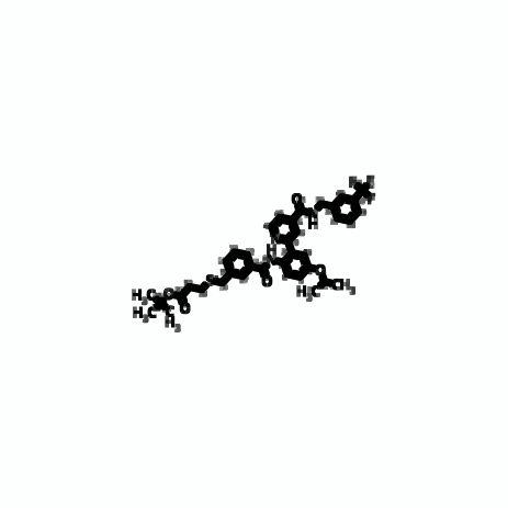 CC(C)Oc1ccc(NC(=O)c2cccc(CSCCC(=O)OC(C)(C)C)c2)c(-c2cc(C(=O)NCc3cccc(C(F)(F)F)c3)ccn2)c1